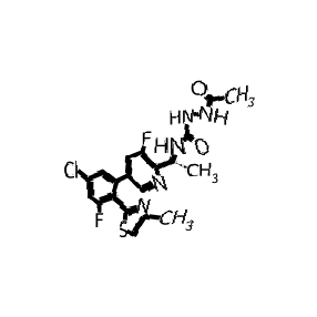 CC(=O)NNC(=O)N[C@H](C)c1ncc(-c2cc(Cl)cc(F)c2-c2nc(C)cs2)cc1F